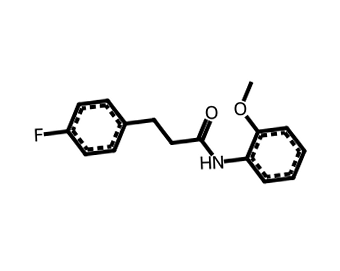 COc1ccccc1NC(=O)CCc1ccc(F)cc1